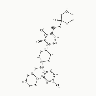 O=c1c(Cl)c(NC[C@@]2(F)CCCOC2)cnn1[C@H]1CC[C@@H](N(C[C@H]2COCCO2)c2ccc(Cl)cc2)CC1